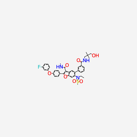 CCN(c1cc2oc(-c3ccc(Oc4cccc(F)c4)cc3)c(C(=O)NC)c2cc1-c1cccc(C(=O)NCC(C)(C)CO)c1)S(C)(=O)=O